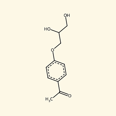 CC(=O)c1ccc(OCC(O)CO)cc1